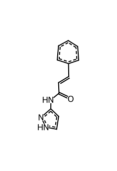 O=C(C=Cc1ccccc1)Nc1cc[nH]n1